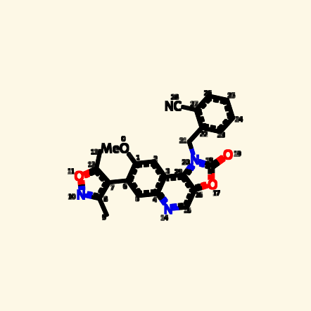 COc1cc2c(cc1-c1c(C)noc1C)ncc1oc(=O)n(Cc3ccccc3C#N)c12